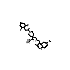 COc1ccc2ncc(C)c(CCCC3(C(=O)NO)CCN(C(C)Cc4c(F)cc(F)cc4F)CC3)c2c1